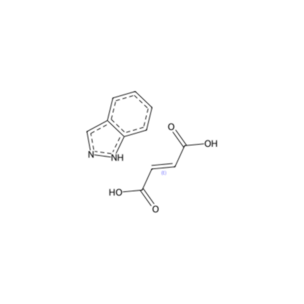 O=C(O)/C=C/C(=O)O.c1ccc2[nH]ncc2c1